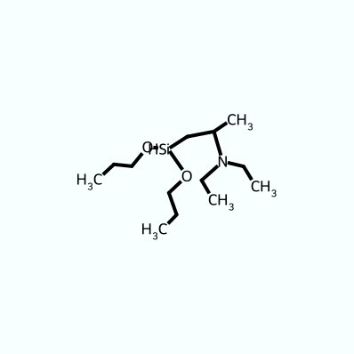 CCCO[SiH](CC(C)N(CC)CC)OCCC